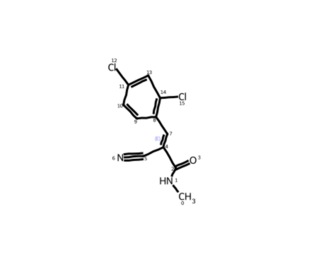 CNC(=O)/C(C#N)=C/c1ccc(Cl)cc1Cl